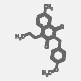 CCCn1c(=O)n(Cc2ccc(OC)cc2)c(=O)c2cc(C)ccc21